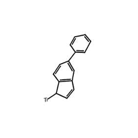 [Ti][CH]1C=Cc2cc(-c3ccccc3)ccc21